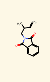 C=CC(C)CN1C(=O)c2ccccc2C1=O